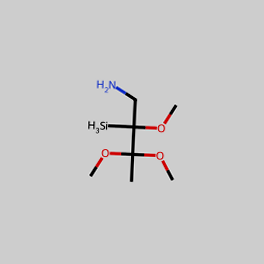 COC([SiH3])(CN)C(C)(OC)OC